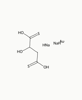 OC(=S)CC(O)C(O)=S.[Au].[NaH].[NaH]